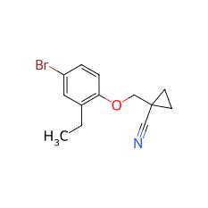 CCc1cc(Br)ccc1OCC1(C#N)CC1